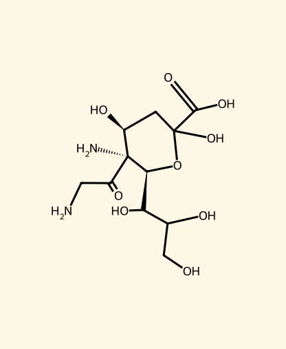 NCC(=O)[C@@]1(N)[C@@H](O)CC(O)(C(=O)O)O[C@H]1C(O)C(O)CO